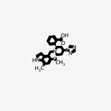 COc1cc(C)c2[nH]ccc2c1CN1CCC(n2cncn2)C[C@@H]1c1ccccc1C(=O)O